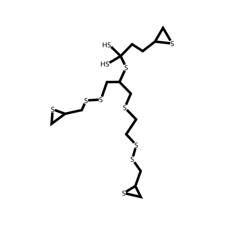 SC(S)(CCC1CS1)SC(CSCCSSCC1CS1)CSSCC1CS1